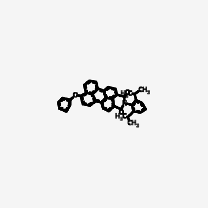 CC(C)c1cccc(C(C)C)c1N1C(=O)c2ccc3c4cccc5c(Oc6ccccc6)ccc(c6ccc(c2c36)C1=O)c54